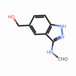 O=CNc1n[nH]c2ccc(CO)cc12